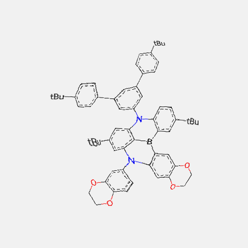 CC(C)(C)c1ccc(-c2cc(-c3ccc(C(C)(C)C)cc3)cc(N3c4ccc(C(C)(C)C)cc4B4c5cc6c(cc5N(c5ccc7c(c5)OCCO7)c5cc(C(C)(C)C)cc3c54)OCCO6)c2)cc1